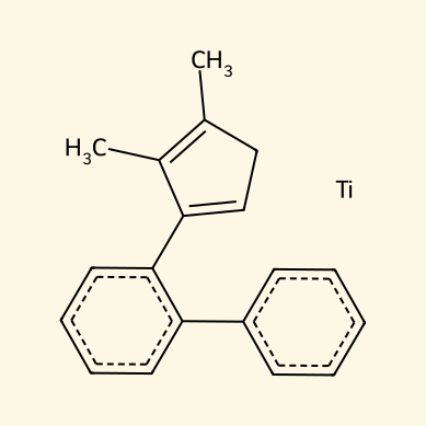 CC1=C(C)C(c2ccccc2-c2ccccc2)=CC1.[Ti]